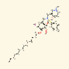 CCCCCCCCCCCCCCOc1ccc(CN(Cc2ccc[n+](C)c2)S(=O)(=O)c2ccc(C)cc2)cc1OC.[I-]